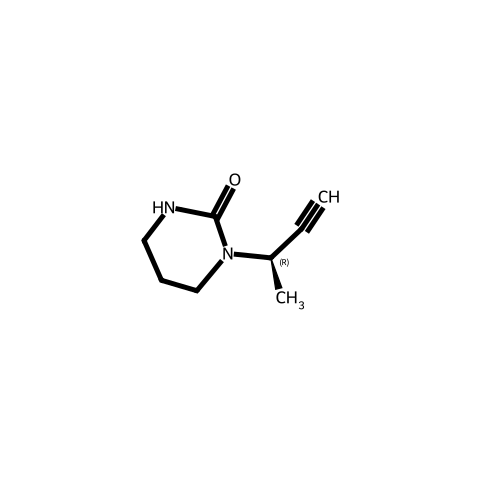 C#C[C@@H](C)N1CCCNC1=O